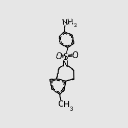 Cc1ccc2c(c1)CCN(S(=O)(=O)c1ccc(N)cc1)C2